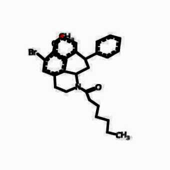 CCCCCCC(=O)N1CCc2cc(Br)c(OC)cc2C1CC(c1ccccc1)c1ccccc1